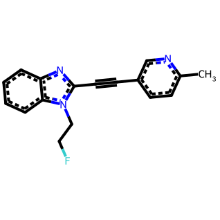 Cc1ccc(C#Cc2nc3ccccc3n2CCF)cn1